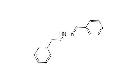 C(=Cc1ccccc1)NN=Cc1ccccc1